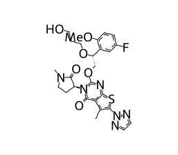 COc1ccc(F)cc1[C@H](COc1nc2sc(-n3nccn3)c(C)c2c(=O)n1[C@H]1CCN(C)C1=O)OCCCO